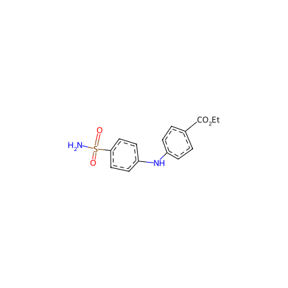 CCOC(=O)c1ccc(Nc2ccc(S(N)(=O)=O)cc2)cc1